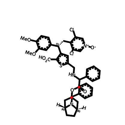 COc1ccc([C@H](Cc2c(Cl)c[n+]([O-])cc2Cl)c2cc(CNC(C(=O)OC3C[C@H]4CC[C@H](C3)N4Cc3ccccc3)c3ccccc3)sc2C(=O)O)cc1OC